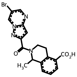 CC1c2cccc(C(=O)O)c2CCN1C(=O)c1cc2ncc(Br)cn2n1